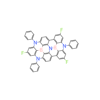 Fc1cc2c3c(c1)N(c1ccccc1)c1cc(F)cc4c1B3N1c3c-2ccc2c3B3c5c(cc(F)cc5N(c5ccccc5)c5ccc-4c1c53)N2c1ccccc1